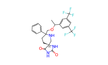 CC(OCC1(c2ccccc2)CC[C@@]2(CN1)NC(=O)NC2=O)c1cc(C(F)(F)F)cc(C(F)(F)F)c1